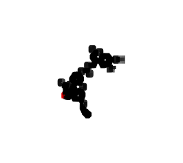 C#CCOc1ccc2c(c1)Oc1cc(OC(=O)OCc3cc(=O)oc4cc(O)c(Br)cc34)ccc1C21OC(=O)c2ccccc21